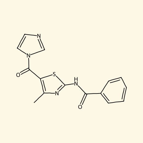 Cc1nc(NC(=O)c2ccccc2)sc1C(=O)n1ccnc1